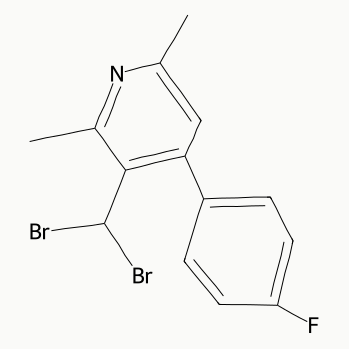 Cc1cc(-c2ccc(F)cc2)c(C(Br)Br)c(C)n1